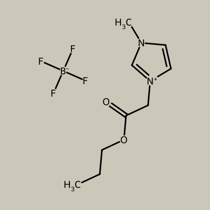 CCCOC(=O)C[n+]1ccn(C)c1.F[B-](F)(F)F